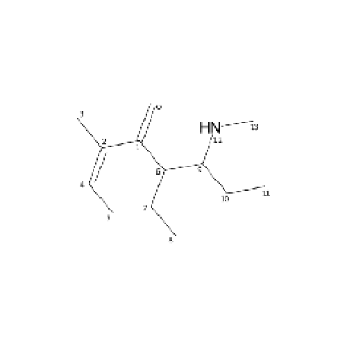 C=C(/C(C)=C\C)C(CC)C(CC)NC